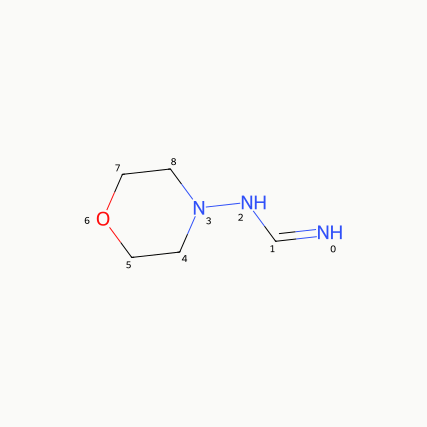 N=CNN1CCOCC1